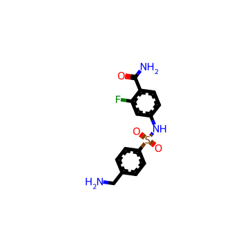 NCc1ccc(S(=O)(=O)Nc2ccc(C(N)=O)c(F)c2)cc1